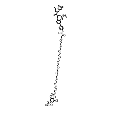 CCCN(Cc1cn[nH]c1)C(=O)C1=Cc2ccc(-c3cnc(CNC(=O)CCOCCOCCOCCOCCOCCOCCOCCOCCOCCOCCC(=O)Oc4c(Cl)cc(S(=O)(=O)O)cc4Cl)nc3)cc2N=C(N)C1